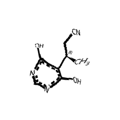 C[C@H](CC#N)c1c(O)ncnc1O